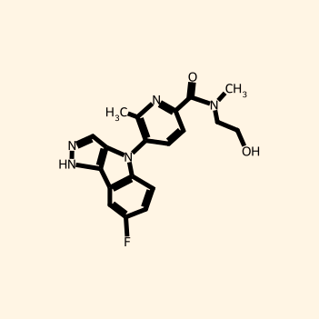 Cc1nc(C(=O)N(C)CCO)ccc1-n1c2ccc(F)cc2c2[nH]ncc21